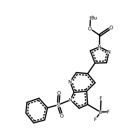 CC(C)(C)OC(=O)n1cc(-c2cnc3c(c2)c([B-](F)(F)F)cn3S(=O)(=O)c2ccccc2)cn1